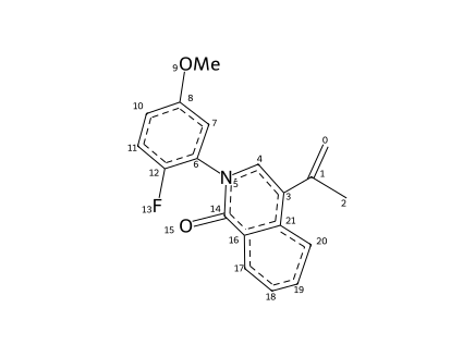 C=C(C)c1cn(-c2cc(OC)ccc2F)c(=O)c2ccccc12